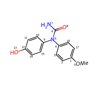 COc1ccc(N(C(N)=O)c2ccc(O)cc2)cc1